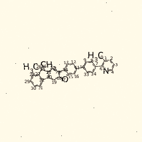 Cc1cccnc1-c1ccc(-c2ccc3c(c2)oc2cc4c(cc23)C(C)(C)c2ccccc2-4)cc1